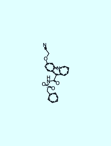 N#CCOc1ccc2c(C(=O)NS(=O)(=O)Cc3ccccc3)c3ccccn3c2c1